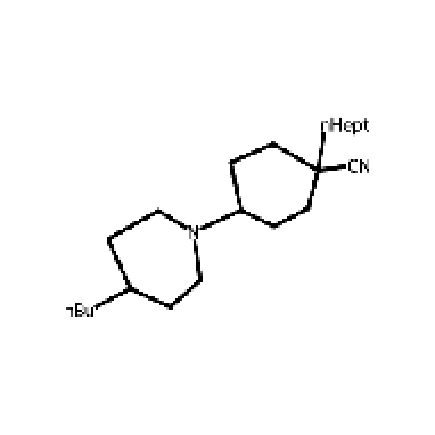 CCCCCCCC1(C#N)CCC(N2CCC(CCCC)CC2)CC1